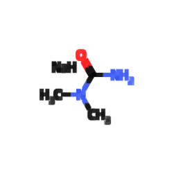 CN(C)C(N)=O.[NaH]